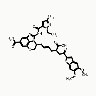 CCn1nc(C)cc1C(=O)Nc1nc2cc(C(N)=O)cc3c2n1[C@@H](C/C=C/CC(CC(=O)c1cc2cc(OC)c(OC)cc2s1)C(=O)O)CO3